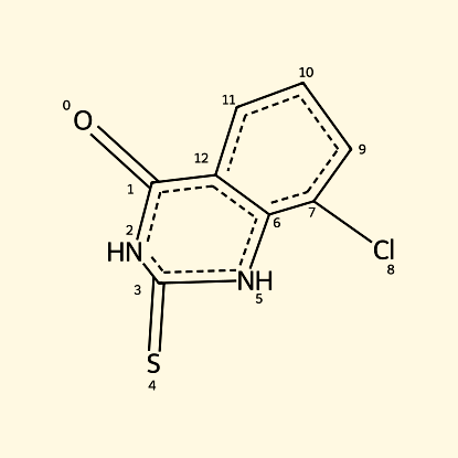 O=c1[nH]c(=S)[nH]c2c(Cl)cccc12